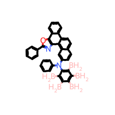 Bc1c(B)c(B)c(N(c2ccccc2)c2ccc3ccc4c5ccccc5c5oc(-c6ccccc6)nc5c4c3c2)c(B)c1B